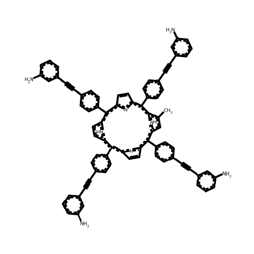 Cc1cc2[nH]c1c(-c1ccc(C#Cc3cccc(N)c3)cc1)c1nc(c(-c3ccc(C#Cc4cccc(N)c4)cc3)c3ccc([nH]3)c(-c3ccc(C#Cc4cccc(N)c4)cc3)c3nc(c2-c2ccc(C#Cc4cccc(N)c4)cc2)C=C3)C=C1